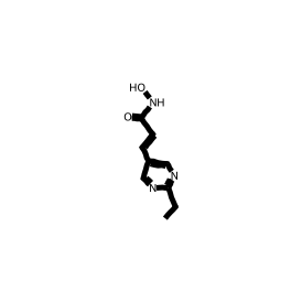 CCc1ncc(/C=C/C(=O)NO)cn1